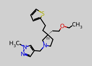 CCOCC[C@]1(CCc2cccs2)CCN(Cc2cnn(C)c2)C1